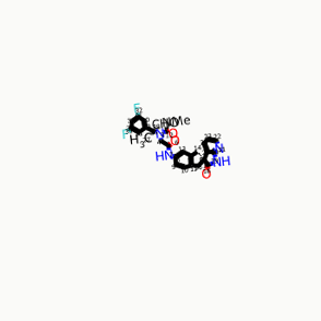 CNC(=O)N(CC(=O)Nc1ccc2c(c1)C[C@@]1(C2)C(=O)Nc2ncccc21)C(C)(C=O)c1cc(F)cc(F)c1